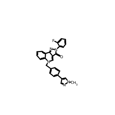 Cn1cc(-c2ccc(Cn3cc4c(=O)n(-c5ccccc5F)nc-4c4ccccc43)cc2)cn1